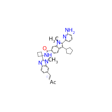 CC(=O)/C=C/c1ccc2nc(C3(NC(=O)c4ccc5c(C6CCCC6)c(-c6cccc(N)n6)n(C)c5c4)CCC3)n(C)c2c1